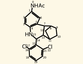 CC(=O)Nc1ccc2c(c1)C1C3CCC(C3)C1C(c1c(Cl)cccc1Cl)N2